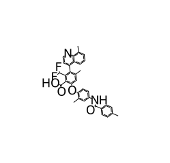 Cc1ccc(C(=O)Nc2ccc(Oc3cc(C)c(-c4ccnc5c(C)cccc45)c(C(F)F)c3C(=O)O)c(C)c2)cc1